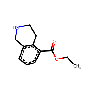 CCOC(=O)c1cccc2c1CCNC2